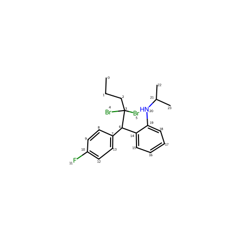 CCCC(Br)(Br)C(c1ccc(F)cc1)c1ccccc1NC(C)C